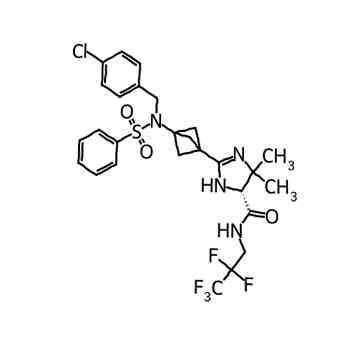 CC1(C)N=C(C23CC(N(Cc4ccc(Cl)cc4)S(=O)(=O)c4ccccc4)(C2)C3)N[C@H]1C(=O)NCC(F)(F)C(F)(F)F